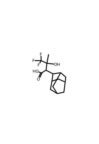 CC(O)(C(C(=O)O)C1C2CC3CC(C2)CC1C3)C(F)(F)F